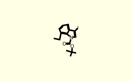 CCc1cccc2c(I)cn(C(=O)OC(C)(C)C)c12